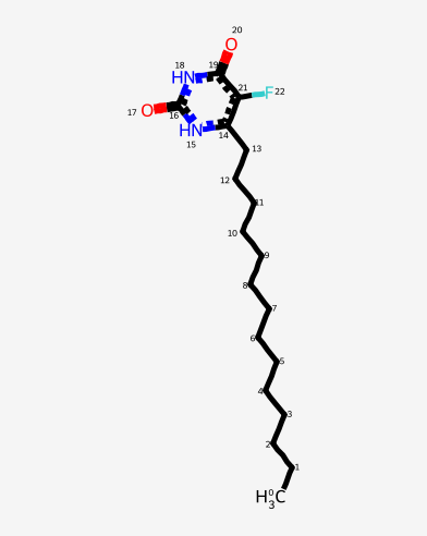 CCCCCCCCCCCCCCc1[nH]c(=O)[nH]c(=O)c1F